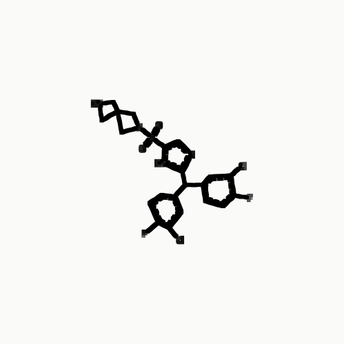 O=S(=O)(c1cnc(C(c2ccc(F)c(Cl)c2)c2ccc(F)c(Cl)c2)[nH]1)N1CC2(CNC2)C1